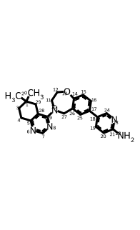 CC1(C)CCc2ncnc(N3CCOc4ccc(-c5ccc(N)nc5)cc4C3)c2C1